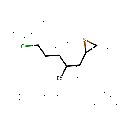 CCC(CCCCl)CC1CS1